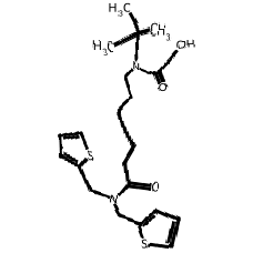 CC(C)(C)N(CCCCCC(=O)N(Cc1cccs1)Cc1cccs1)C(=O)O